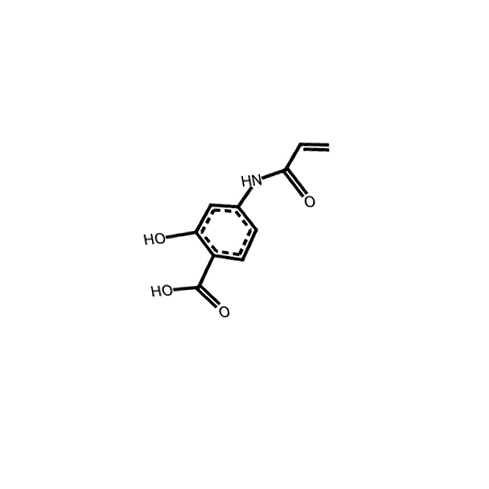 C=CC(=O)Nc1ccc(C(=O)O)c(O)c1